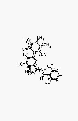 CC1=C(C#N)C(c2cc3c(NC(=O)c4c(F)cccc4Cl)n[nH]c3c(C)c2F)C(C#N)=C(C)N1C